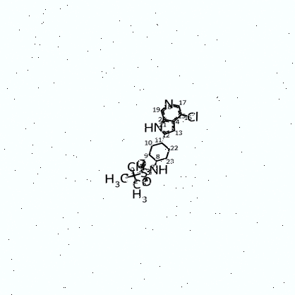 CC(C)(C)S(=O)(=O)N[C@H]1CC[C@H](c2cc3c(Cl)cncc3[nH]2)CC1